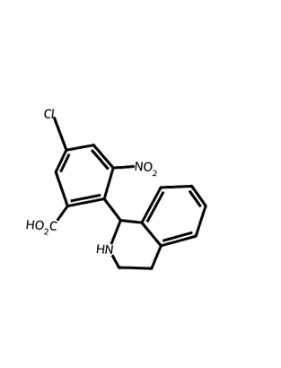 O=C(O)c1cc(Cl)cc([N+](=O)[O-])c1C1NCCc2ccccc21